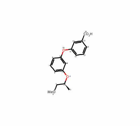 COC[C@H](C)Oc1cccc(Oc2cccc(C(=O)O)c2)c1